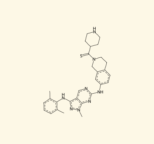 Cc1cccc(C)c1Nc1nn(C)c2nc(Nc3ccc4c(c3)CN(C(=S)C3CCNCC3)CC4)ncc12